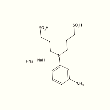 Cc1cccc(N(CCCS(=O)(=O)O)CCCS(=O)(=O)O)c1.[NaH].[NaH]